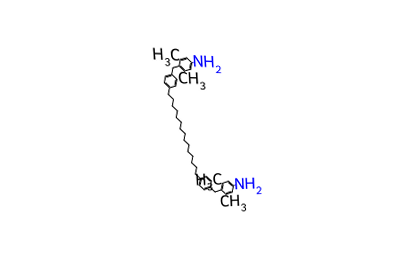 Cc1cc(N)cc(C)c1Cc1ccc(CCCCCCCCCCCCCCCc2ccc(Cc3c(C)cc(N)cc3C)cc2)cc1